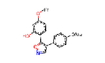 COc1ccc(-c2cnoc2-c2ccc(OC(C)C)cc2O)cc1